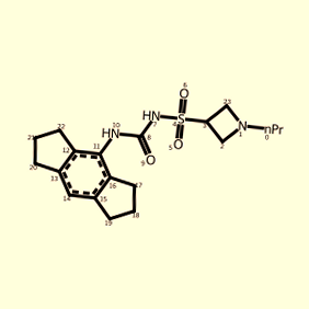 CCCN1CC(S(=O)(=O)NC(=O)Nc2c3c(cc4c2CCC4)CCC3)C1